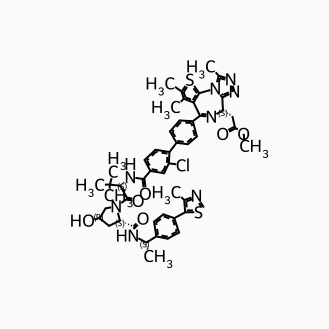 COC(=O)C[C@@H]1N=C(c2ccc(-c3ccc(C(=O)N[C@H](C(=O)N4C[C@H](O)C[C@H]4C(=O)N[C@@H](C)c4ccc(-c5scnc5C)cc4)C(C)(C)C)cc3Cl)cc2)c2c(sc(C)c2C)-n2c(C)nnc21